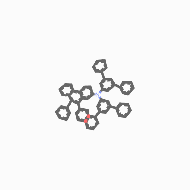 c1ccc(-c2cc(-c3ccccc3)cc(N(c3cc(-c4ccccc4)cc(-c4ccccc4)c3)c3ccc4c(c3)c(-c3ccccc3)c(-c3ccccc3)c3ccccc34)c2)cc1